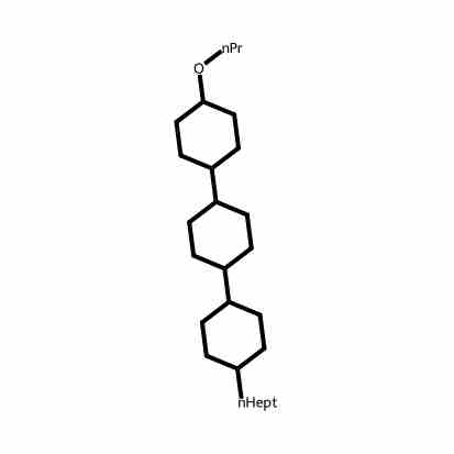 CCCCCCCC1CCC(C2CCC(C3CCC(OCCC)CC3)CC2)CC1